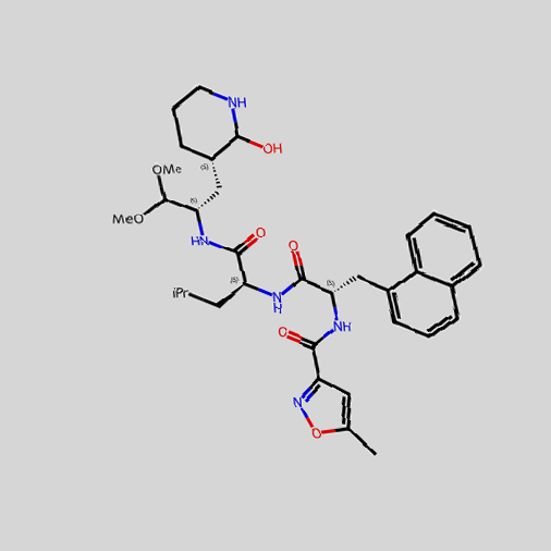 COC(OC)[C@H](C[C@@H]1CCCNC1O)NC(=O)[C@H](CC(C)C)NC(=O)[C@H](Cc1cccc2ccccc12)NC(=O)c1cc(C)on1